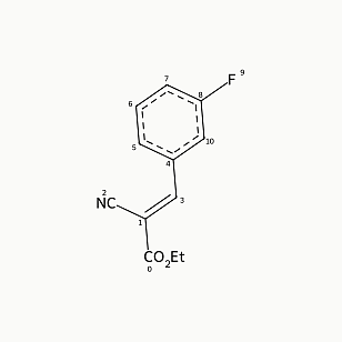 CCOC(=O)C(C#N)=Cc1cccc(F)c1